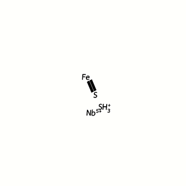 [Nb+5].[SH3+].[S]=[Fe]